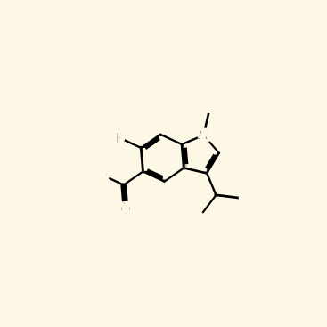 CC(C)c1cn(C)c2cc(F)c(C(=O)O)cc12